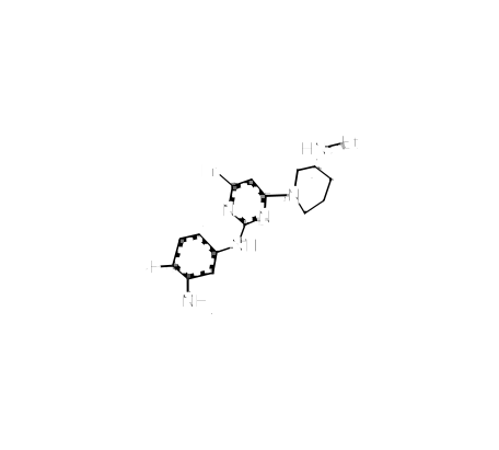 CCCc1cc(N2CCC[C@@H](NCC)C2)nc(Nc2ccc(F)c(N)c2)n1